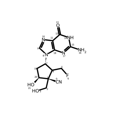 N#C[C@]1(CO)C(CF)[C@@H](n2cnc3c(=O)[nH]c(N)nc32)C[C@@H]1O